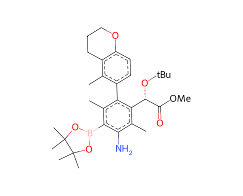 COC(=O)[C@@H](OC(C)(C)C)c1c(C)c(N)c(B2OC(C)(C)C(C)(C)O2)c(C)c1-c1ccc2c(c1C)CCCO2